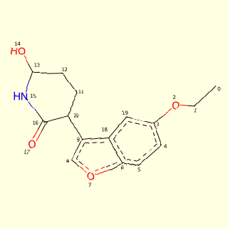 CCOc1ccc2occ(C3CCC(O)NC3=O)c2c1